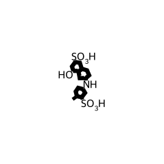 Cc1ccc(Nc2ccc3cc(S(=O)(=O)O)cc(O)c3c2)cc1S(=O)(=O)O